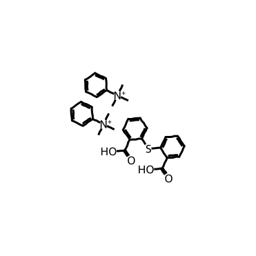 C[N+](C)(C)c1ccccc1.C[N+](C)(C)c1ccccc1.O=C(O)c1ccccc1Sc1ccccc1C(=O)O